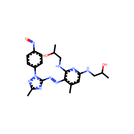 Cc1nc(N=Nc2c(C)cc(NCC(C)O)nc2NCC(C)O)n(-c2ccc(N=O)cc2)n1